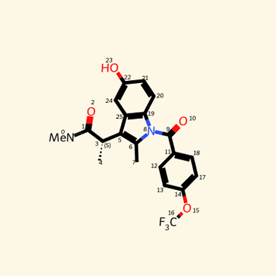 CNC(=O)[C@@H](C)c1c(C)n(C(=O)c2ccc(OC(F)(F)F)cc2)c2ccc(O)cc12